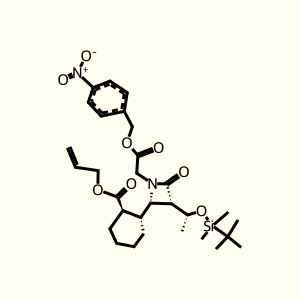 C=CCOC(=O)[C@@H]1CCCC[C@H]1[C@H]1[C@@H]([C@@H](C)O[Si](C)(C)C(C)(C)C)C(=O)N1CC(=O)OCc1ccc([N+](=O)[O-])cc1